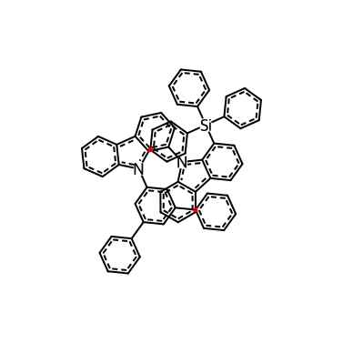 c1ccc(-c2cc(-c3ccccc3)cc(-n3c4ccccc4c4cccc(-n5c6ccccc6c6cccc([Si](c7ccccc7)(c7ccccc7)c7ccccc7)c65)c43)c2)cc1